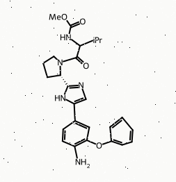 COC(=O)NC(C(=O)N1CCC[C@H]1c1ncc(-c2ccc(N)c(Oc3ccccc3)c2)[nH]1)C(C)C